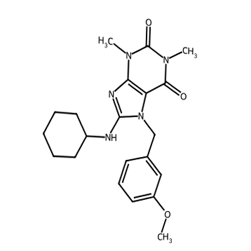 COc1cccc(Cn2c(NC3CCCCC3)nc3c2c(=O)n(C)c(=O)n3C)c1